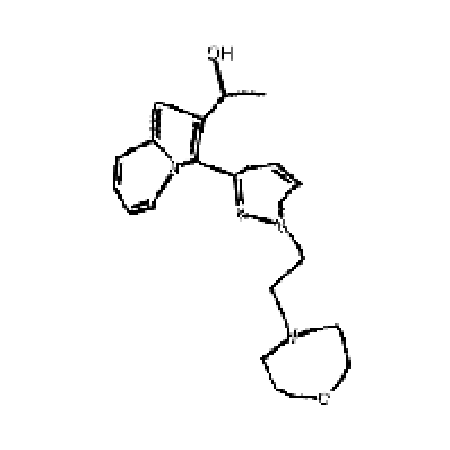 CC(O)c1cc2ccccn2c1-c1ccn(CCN2CCOCC2)n1